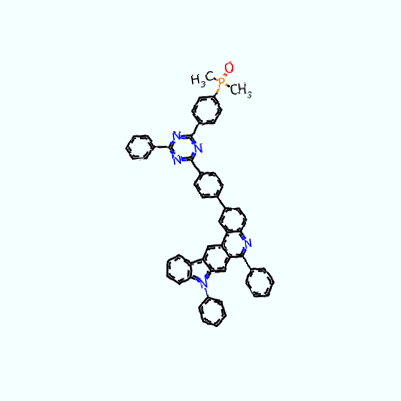 CP(C)(=O)c1ccc(-c2nc(-c3ccccc3)nc(-c3ccc(-c4ccc5nc(-c6ccccc6)c6cc7c(cc6c5c4)c4ccccc4n7-c4ccccc4)cc3)n2)cc1